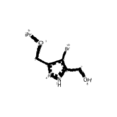 CC(C)OCc1n[nH]c(CO)c1Br